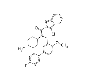 COc1ccc(-c2ccc(I)nc2)cc1CN(C(=O)c1sc2ccccc2c1Cl)[C@H]1CC[C@H](C)CC1